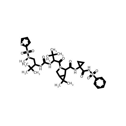 CN(CC(NC(=O)NC(C(=O)N1CC2C(C1C(=O)NC1(C(=O)NS(=O)(=O)c3ccccc3)CC1)C2(C)C)C(C)(C)C)C(C)(C)C)S(=O)(=O)c1cccs1